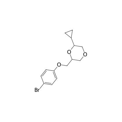 Brc1ccc(OCC2COCC(C3CC3)O2)cc1